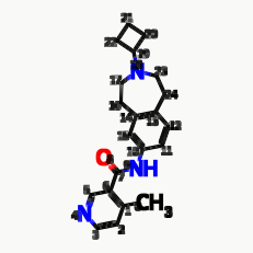 Cc1ccncc1C(=O)Nc1ccc2c(c1)CCN(C1CCC1)CC2